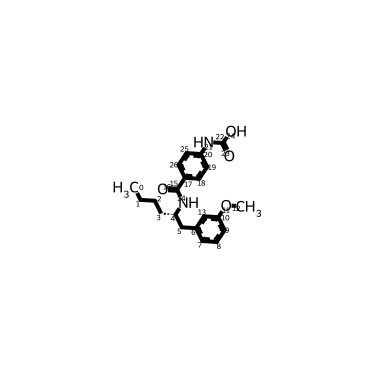 CCCC[C@@H](Cc1cccc(OC)c1)NC(=O)c1ccc(NC(=O)O)cc1